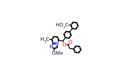 COc1cn2c(C(OC(=O)Cc3ccccc3)c3ccc(-c4ccccc4C(=O)O)cc3)ccc(C)c2n1